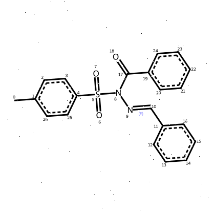 Cc1ccc(S(=O)(=O)N(/N=C/c2ccccc2)C(=O)c2ccccc2)cc1